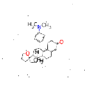 CN(C)c1ccc([C@H]2C[C@@]3(C)[C@H](CC[C@@]34CCCO4)[C@@H]3CCC4=CC(=O)CCC4=C32)cc1